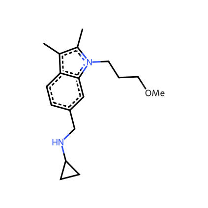 COCCCn1c(C)c(C)c2ccc(CNC3CC3)cc21